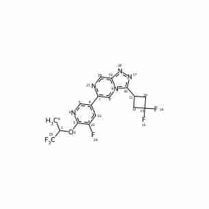 CC(Oc1ncc(-c2cn3c(C4CC(F)(F)C4)nnc3cn2)cc1F)C(F)(F)F